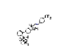 CS(=O)(=O)Nc1ccccc1-c1ccc2[nH]c(/C=C/c3ccc(C(F)(F)F)cc3)nc2c1